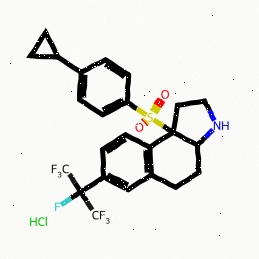 Cl.O=S(=O)(c1ccc(C2CC2)cc1)C12CCNC1CCc1cc(C(F)(C(F)(F)F)C(F)(F)F)ccc12